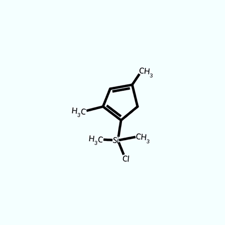 CC1=CC(C)=C([Si](C)(C)Cl)C1